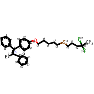 CC/C(=C(\c1ccccc1)c1ccc(OCCCCCSCCCC(F)(F)C(F)(F)F)cc1)c1ccccc1